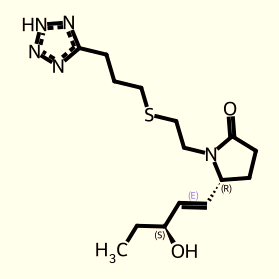 CC[C@H](O)/C=C/[C@H]1CCC(=O)N1CCSCCCc1nn[nH]n1